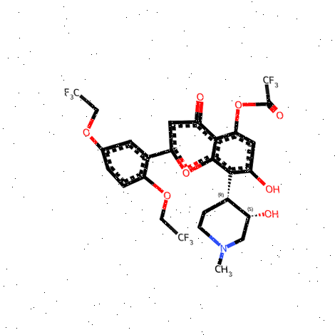 CN1CC[C@H](c2c(O)cc(OC(=O)C(F)(F)F)c3c(=O)cc(-c4cc(OCC(F)(F)F)ccc4OCC(F)(F)F)oc23)[C@H](O)C1